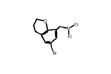 CCN(CC)Cc1cc(Br)cc2c1OCCC2